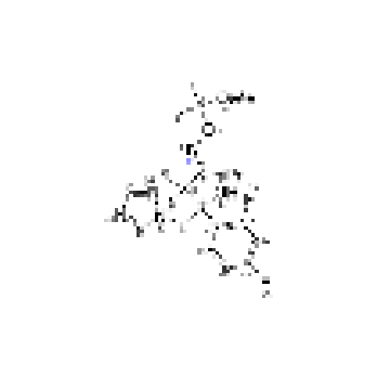 COC(C)(C)O/N=C(\C(C)C)C1(C(O)(Cn2cncn2)c2ccc(F)cc2F)CC1